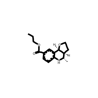 CCCOC(=O)c1ccc2c(c1)[C@H]1OCC[C@H]1[C@H](C)N2